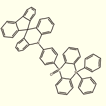 O=P1(c2ccc(N3c4ccccc4C4(c5ccccc5-c5ccccc54)c4ccccc43)cc2)c2ccccc2[Si](c2ccccc2)(c2ccccc2)c2ccccc21